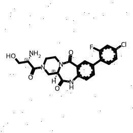 N[C@@H](CO)C(=O)N1CCN2C(=O)c3cc(-c4ccc(Cl)cc4F)ccc3NC(=O)[C@H]2C1